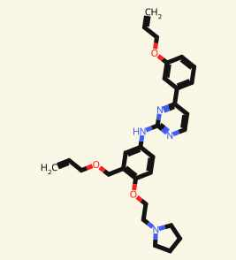 C=CCOCc1cc(Nc2nccc(-c3cccc(OCC=C)c3)n2)ccc1OCCN1CCCC1